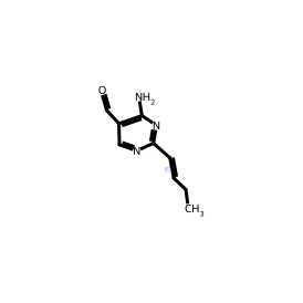 CC/C=C/c1ncc(C=O)c(N)n1